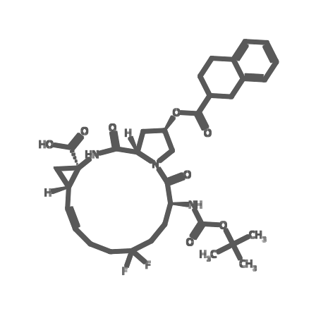 CC(C)(C)OC(=O)N[C@H]1CCC(F)(F)CC/C=C\[C@@H]2C[C@@]2(C(=O)O)NC(=O)[C@@H]2C[C@@H](OC(=O)C3CCc4ccccc4C3)CN2C1=O